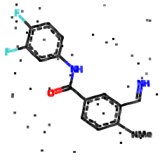 CNc1ccc(C(=O)Nc2ccc(F)c(F)c2)cc1C=N